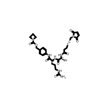 CC(C)[C@H](NC(=O)CCCCCN1C(=O)C=CC1=O)C(=O)N[C@@H](CCCNC(N)=O)C(=O)Nc1ccc(COC(=O)N2CCC2)cc1